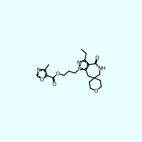 CCc1nn(CCCOC(=O)c2ocnc2C)c2c1C(=O)NCC1(CCOCC1)C2